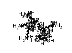 C[C@H](NC(=O)[C@H](C)NC(=O)[C@H](CCCNC(=N)N)NC(=O)[C@@H](CCCCN)NC(=O)[C@@H](N)CCCCN)C(=O)N[C@@H](CCCNC(=N)N)C(=O)N[C@@H](C)C(=O)N[C@H](C(=O)N[C@@H](CO)C(N)=O)[C@@H](C)O